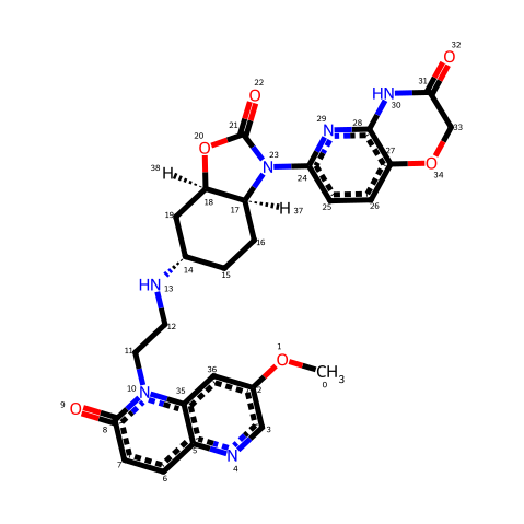 COc1cnc2ccc(=O)n(CCN[C@H]3CC[C@H]4[C@@H](C3)OC(=O)N4c3ccc4c(n3)NC(=O)CO4)c2c1